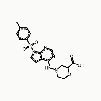 Cc1ccc(S(=O)(=O)n2ccc3c(NN4CCOC(C(=O)O)C4)ncnc32)cc1